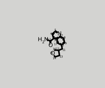 NC(=O)c1ccnc2ccc(CC3CCOC3)cc12